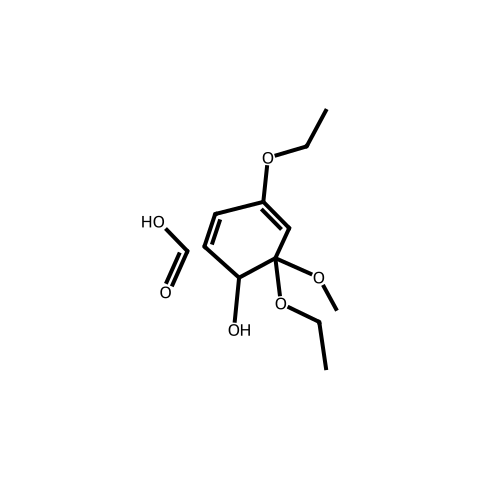 CCOC1=CC(OC)(OCC)C(O)C=C1.O=CO